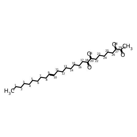 CCCCCCCCCC=CCCCCCCCC(=O)C(=O)CCCCCC(=O)C(C)=O